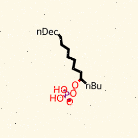 CCCCCCCCCCCCCCCCCC(CCCC)OOP(=O)(O)O